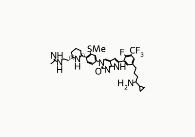 CSc1cc(-n2cc3cc(-c4cc(CCCC(N)C5CC5)cc(C(F)(F)F)c4F)[nH]c3nc2=O)ccc1[C@@H]1CCC[C@@H](CCNC(C)=N)N1